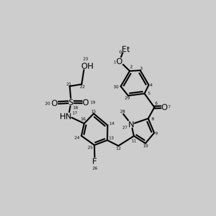 CCOc1ccc(C(=O)c2ccc(Cc3ccc(NS(=O)(=O)CCO)cc3F)n2C)cc1